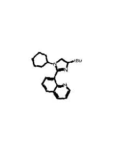 CC(C)(C)C1CN(C2CCCCC2)C(c2cccc3cccnc23)=N1